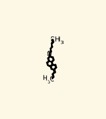 CCCCCCOC1CCC2C(CCC3CC(CCCC)CCC32)C1